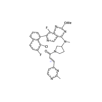 COc1nc(N(C)C2CCN(C(=O)/C=C/c3ccnc(C)n3)C2)c2cnc(-c3cccc4ccc(F)c(Cl)c34)c(F)c2n1